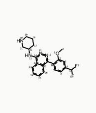 COc1cc(C(F)F)ccc1-c1nnc(N[C@@H]2CCCNC2)c2ccccc12